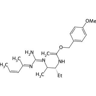 C=C(N[C@H](CC)C(C)\N=C(N)/N=C(C)/C=C\C)OCc1ccc(OC)cc1